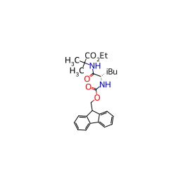 CCOC(=O)C(C)(C)NC(=O)[C@@H](NC(=O)OCC1c2ccccc2-c2ccccc21)[C@@H](C)CC